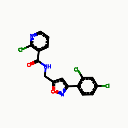 O=C(NCc1cc(-c2ccc(Cl)cc2Cl)no1)c1cccnc1Cl